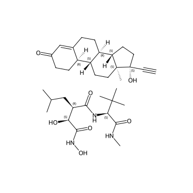 C#C[C@]1(O)CC[C@H]2[C@@H]3CCC4=CC(=O)CC[C@@H]4[C@H]3CC[C@@]21C.CNC(=O)[C@@H](NC(=O)[C@H](CC(C)C)[C@H](O)C(=O)NO)C(C)(C)C